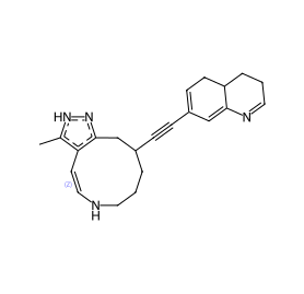 Cc1[nH]nc2c1/C=C\NCCCC(C#CC1=CCC3CCC=NC3=C1)C2